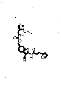 Cn1cncc1CNC(=O)OCC1CCc2c(sc(NC(=O)C=Cc3ccco3)c2C#N)C1